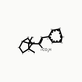 CC1(C)C2CCC1(C)C(C(=Cc1ccccc1)C(=O)O)C2